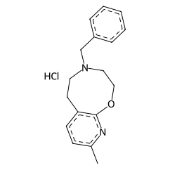 Cc1ccc2c(n1)OCCN(Cc1ccccc1)CC2.Cl